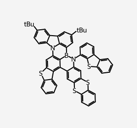 CC(C)(C)c1ccc2c(c1)c1cc(C(C)(C)C)cc3c1n2-c1cc2sc4ccccc4c2c2c1B3N(c1cccc3c1sc1ccccc13)c1cc3c(cc1-2)Sc1ccccc1S3